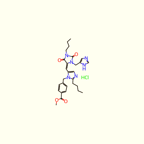 CCCCc1ncc(C=C2C(=O)N(CCCC)C(=O)N2Cc2cnc[nH]2)n1Cc1ccc(C(=O)OC)cc1.Cl